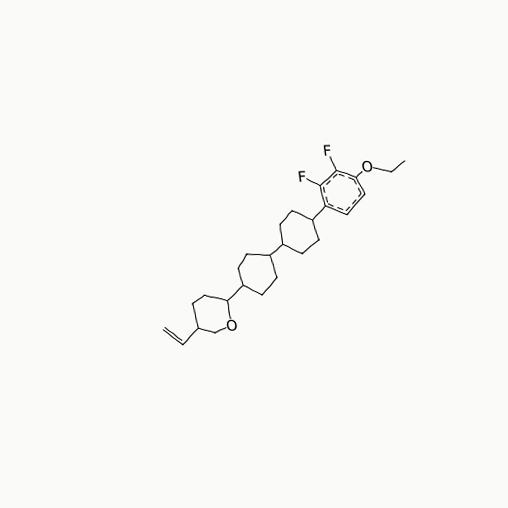 C=CC1CCC(C2CCC(C3CCC(c4ccc(OCC)c(F)c4F)CC3)CC2)OC1